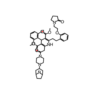 COC(=O)C1=C(CCc2ccccc2OCCN2CCCC2=O)NC(CC(=O)N2CCN(C3CC4CCC(C3)N4C)CC2)=C(C(=O)OC)C1c1c(Cl)cccc1Cl